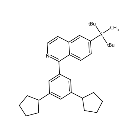 CC(C)(C)S(C)(c1ccc2c(-c3cc(C4CCCC4)cc(C4CCCC4)c3)nccc2c1)C(C)(C)C